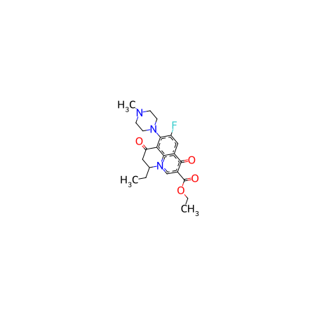 CCOC(=O)c1cn2c3c(c(N4CCN(C)CC4)c(F)cc3c1=O)C(=O)CC2CC